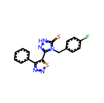 Fc1ccc(Cn2c(-c3snnc3-c3ccccc3)n[nH]c2=S)cc1